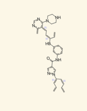 C=C/C=C\C(=C/C=C)n1cc(C(=O)Nc2cccc(B/C(C=C)=C/C=c3/c(N4CCNCC4)ncnc3=C)c2)cn1